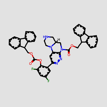 O=C(OCC1c2ccccc2-c2ccccc21)Oc1c(F)cc(F)cc1-c1cc2c(nn1)N(C(=O)OCC1c3ccccc3-c3ccccc31)C[C@H]1CNCCN21